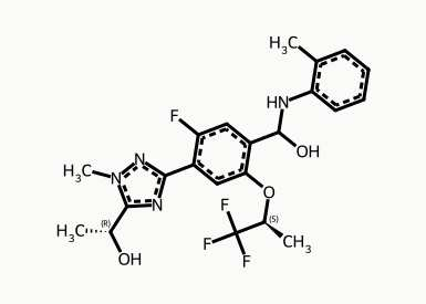 Cc1ccccc1NC(O)c1cc(F)c(-c2nc([C@@H](C)O)n(C)n2)cc1O[C@@H](C)C(F)(F)F